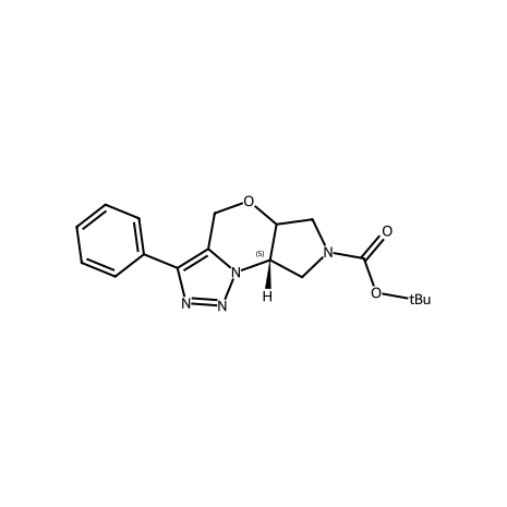 CC(C)(C)OC(=O)N1CC2OCc3c(-c4ccccc4)nnn3[C@H]2C1